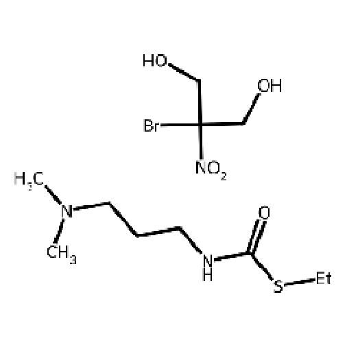 CCSC(=O)NCCCN(C)C.O=[N+]([O-])C(Br)(CO)CO